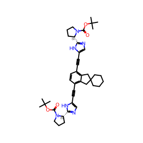 CC(C)(C)OC(=O)N1CCC[C@H]1c1ncc(C#Cc2ccc(C#Cc3cnc([C@@H]4CCCN4C(=O)OC(C)(C)C)[nH]3)c3c2CC2(CCCCC2)C3)[nH]1